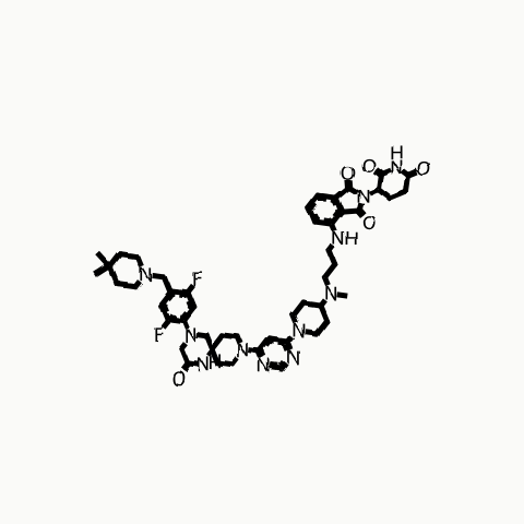 CN(CCCNc1cccc2c1C(=O)N(C1CCC(=O)NC1=O)C2=O)C1CCN(c2cc(N3CCC4(CC3)CN(c3cc(F)c(CN5CCC(C)(C)CC5)cc3F)CC(=O)N4)ncn2)CC1